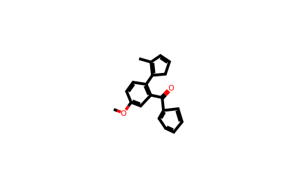 COc1ccc(C2=C(C)C=CC2)c(C(=O)c2ccccc2)c1